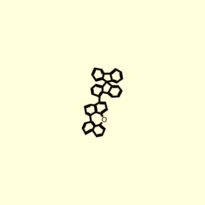 c1ccc2c(c1)-c1ccccc1C21c2ccccc2-c2c(-c3ccc4oc5cccc6cccc(c7cccc3c47)c65)cccc21